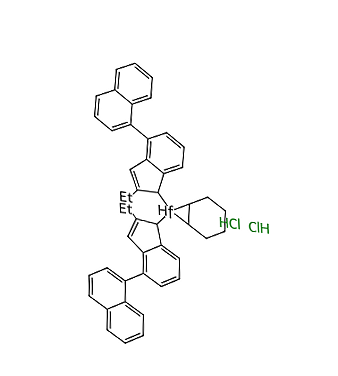 CCC1=Cc2c(-c3cccc4ccccc34)cccc2[CH]1[Hf]1([CH]2C(CC)=Cc3c(-c4cccc5ccccc45)cccc32)[CH]2CCCC[CH]21.Cl.Cl